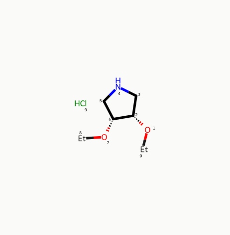 CCO[C@H]1CNC[C@H]1OCC.Cl